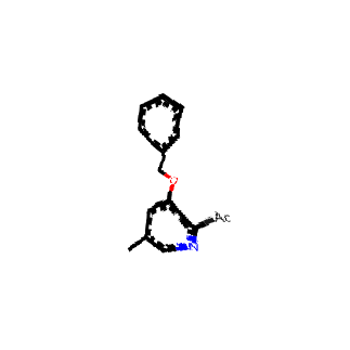 CC(=O)c1ncc(C)cc1OCc1ccccc1